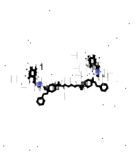 N/C(=N\C(=O)c1nc(Cl)c(N)nc1N)NCC1(CCc2ccccc2)CCN(C(=O)NCCCCNC(O)N2CCC(CCc3ccccc3)(CN/C(N)=N/C(=O)c3nc(Cl)c(N)nc3N)CC2)CC1